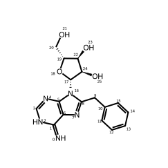 N=c1[nH]cnc2c1nc(Cc1ccccc1)n2[C@@H]1O[C@H](CO)[C@@H](O)[C@H]1O